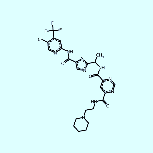 CC(NC(=O)c1cc(C(=O)NCCN2CCCCC2)ncn1)c1ncc(C(=O)Nc2cc(C(F)(F)F)c(Cl)cn2)s1